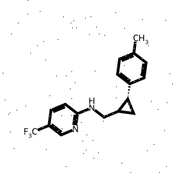 Cc1ccc([C@@H]2CC2CNc2ccc(C(F)(F)F)cn2)cc1